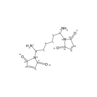 NC(CCCCC(N)N1C(=O)C=CC1=O)N1C(=O)C=CC1=O